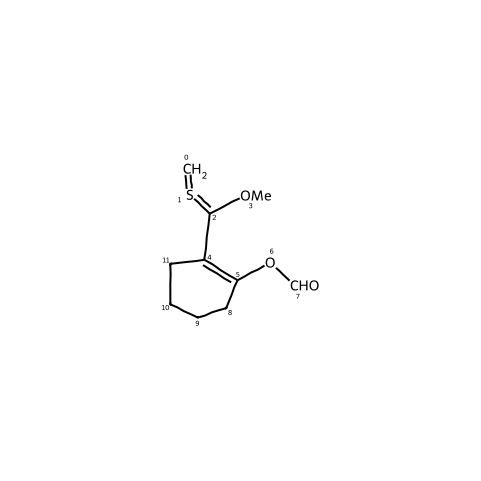 C=S=C(OC)C1=C(OC=O)CCCC1